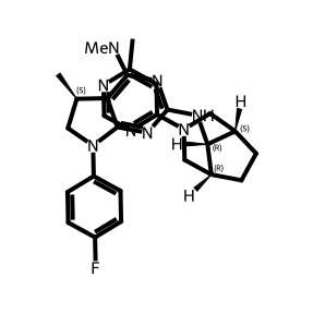 CNc1nc(N[C@H]2[C@@H]3CC[C@H]2CN(c2cc(C)ncn2)C3)nc2c1[C@H](C)CN2c1ccc(F)cc1